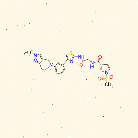 Cn1cc2c(n1)CCN(c1cccc(-c3csc(NC(=O)CNC(=O)c4ccn(S(C)(=O)=O)c4)n3)c1)C2